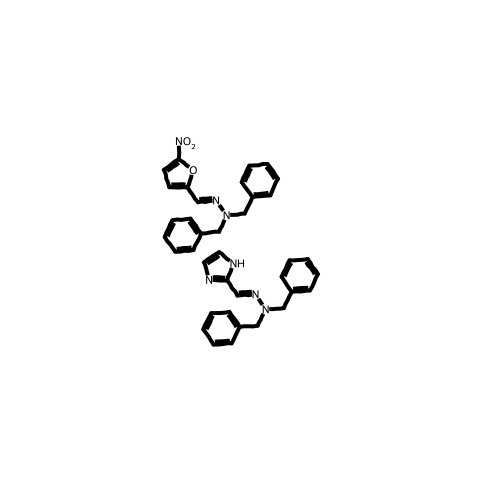 C(=NN(Cc1ccccc1)Cc1ccccc1)c1ncc[nH]1.O=[N+]([O-])c1ccc(C=NN(Cc2ccccc2)Cc2ccccc2)o1